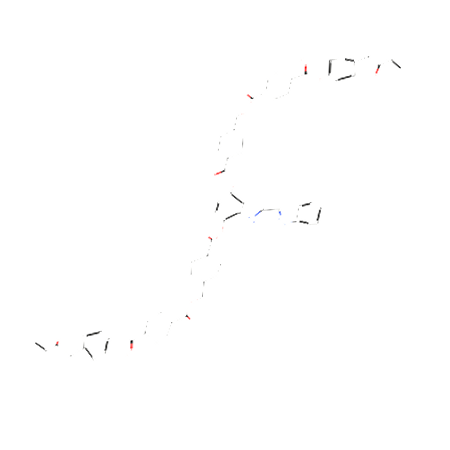 C=CC(=O)Cc1ccc(OC(=O)C2CCC(C(=O)OCC3CCC(C(=O)Oc4ccc(OC(=O)C5CCC(COC(=O)C6CCC(C(=O)Oc7ccc(CC(=O)C=C)cc7)CC6)CC5)c5sc(-c6nc7ccccc7s6)nc45)CC3)CC2)cc1